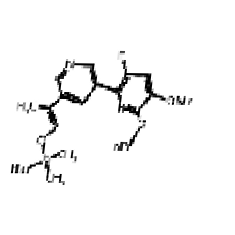 CCCOc1nc(-c2cncc(C(C)=CO[Si](C)(C)C(C)(C)C)c2)c(F)cc1OC